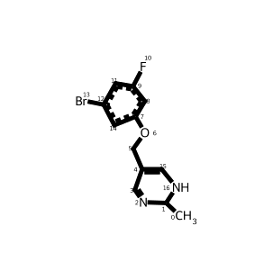 CC1N=CC(COc2cc(F)cc(Br)c2)=CN1